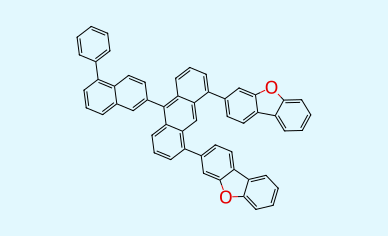 c1ccc(-c2cccc3cc(-c4c5cccc(-c6ccc7c(c6)oc6ccccc67)c5cc5c(-c6ccc7c(c6)oc6ccccc67)cccc45)ccc23)cc1